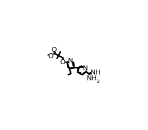 CCc1cc(OCC(C)(C)C(=O)OC)ncc1-c1ccc(C(=N)N)nc1